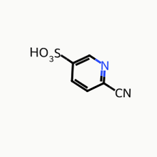 N#Cc1ccc(S(=O)(=O)O)cn1